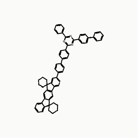 c1ccc(-c2ccc(-c3nc(-c4ccccc4)nc(-c4ccc(-c5ccc(-c6ccc7c(c6)C6(CCCCC6)c6cc8c(cc6-7)C6(CCCCC6)c6ccccc6-8)cc5)cc4)n3)cc2)cc1